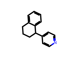 c1ccc2c(c1)CCCC2c1ccncc1